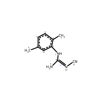 Cc1ccc(C)c(N/C(N)=N\C#N)c1